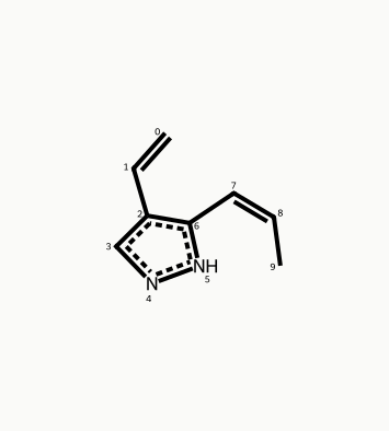 C=Cc1cn[nH]c1/C=C\C